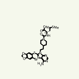 COC(=O)[C@H](CCSC)NC(=O)N1CCC(CCn2c(Sc3cc4c(cc3Br)OCO4)nc3c(N)ncnc32)CC1